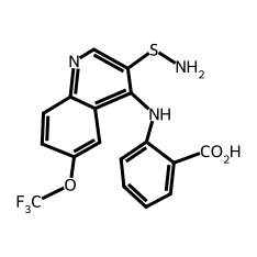 NSc1cnc2ccc(OC(F)(F)F)cc2c1Nc1ccccc1C(=O)O